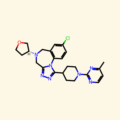 Cc1ccnc(N2CCC(c3nnc4n3-c3ccc(Cl)cc3CN([C@@H]3CCOC3)C4)CC2)n1